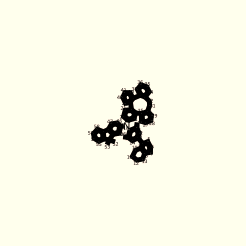 Cc1cc(-c2cccc3c2CCCC3)cc(C)c1N(c1ccc2c(c1)-c1ccccc1CCc1ccccc1-c1ccccc1-2)c1ccc2c(c1)C(C)(C)c1ccccc1-2